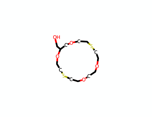 OCC1COCCSCCOCCOCCSCCO1